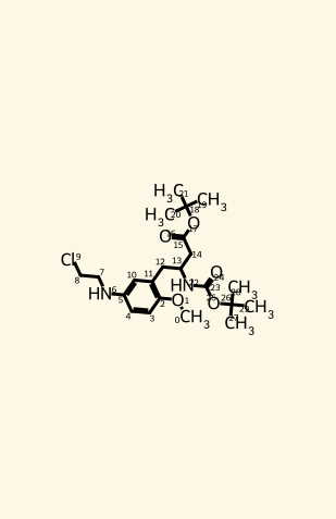 COc1ccc(NCCCl)cc1CC(CC(=O)OC(C)(C)C)NC(=O)OC(C)(C)C